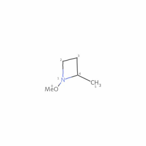 CON1CCC1C